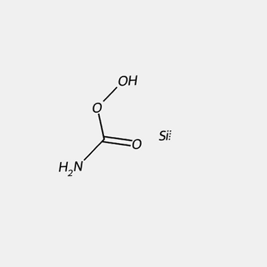 NC(=O)OO.[Si]